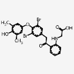 Cc1cc(Oc2c(Br)cc(CC(=O)c3ccccc3NCC(=O)O)cc2Br)cc(C)c1O